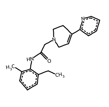 CCc1cccc(C)c1NC(=O)CN1CC=C(c2ccccn2)CC1